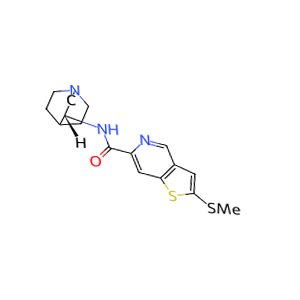 CSc1cc2cnc(C(=O)N[C@H]3CN4CCC3CC4)cc2s1